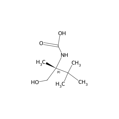 CC(C)(C)[C@](C)(CO)NC(=O)O